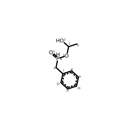 CC(O)O[PH](=O)Cc1ccccc1